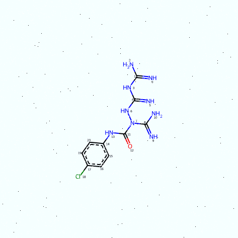 N=C(N)NC(=N)NN(C(=N)N)C(=O)Nc1ccc(Cl)cc1